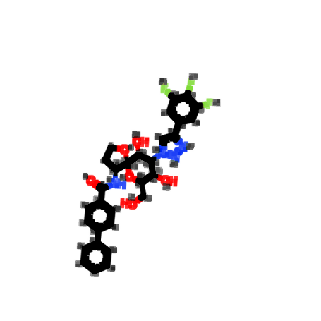 O=C(N[C@@H]1CCO[C@]12O[C@H](CO)[C@H](O)[C@H](n1cc(-c3cc(F)c(F)c(F)c3)nn1)[C@H]2O)c1ccc(-c2ccccc2)cc1